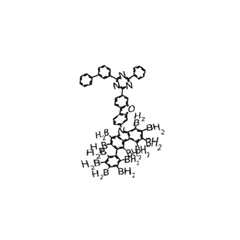 Bc1c(B)c(B)c(-c2c(B)c(B)c3c(c2B)c2c(B)c(B)c(B)c(B)c2n3-c2ccc3c(c2)oc2cc(-c4nc(-c5ccccc5)nc(-c5cccc(-c6ccccc6)c5)n4)ccc23)c(B)c1B